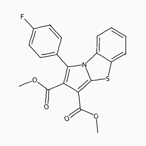 COC(=O)c1c(C(=O)OC)c2sc3ccccc3n2c1-c1ccc(F)cc1